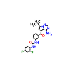 CC(C)c1cc(C(=O)c2cccc(NC(=O)Nc3ccc(F)cc3F)c2)c2c(N)ncnn12